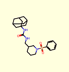 O=C(NCC1CCCN(S(=O)(=O)c2ccccc2)C1)NC12CC3CC(CC(C3)C1)C2